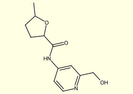 CC1CCC(C(=O)Nc2ccnc(CO)c2)O1